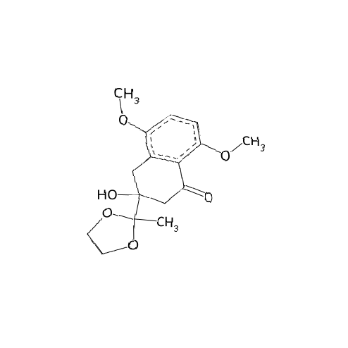 COc1ccc(OC)c2c1CC(O)(C1(C)OCCO1)CC2=O